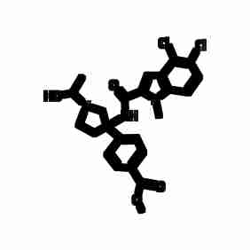 COC(=O)c1ccc(C2(NC(=O)c3cc4c(Cl)c(Cl)ccc4n3C)CCN(C(C)O)C2)cc1